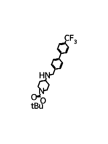 CC(C)(C)OC(=O)N1CCC(NCc2ccc(-c3ccc(C(F)(F)F)cc3)cc2)CC1